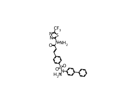 NN(C(=O)/C=C/c1ccc(S(=O)(=O)N(N)c2ccc(-c3ccccc3)cc2)cc1)c1nnc(C(F)(F)F)s1